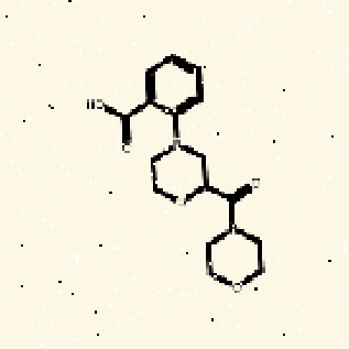 O=C(O)c1ccccc1N1CCOC(C(=O)N2CCOCC2)C1